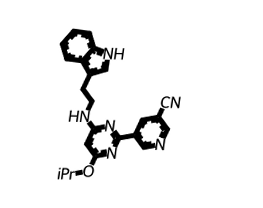 CC(C)Oc1cc(NCCc2c[nH]c3ccccc23)nc(-c2cncc(C#N)c2)n1